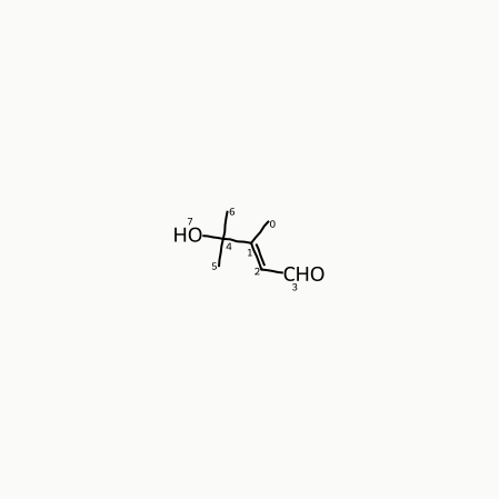 C/C(=C\C=O)C(C)(C)O